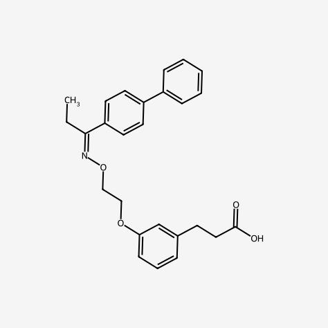 CCC(=NOCCOc1cccc(CCC(=O)O)c1)c1ccc(-c2ccccc2)cc1